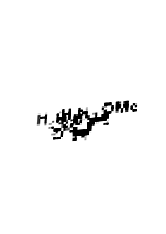 COC[C@@H](N)/C=C\S(C)(=O)=O